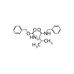 CC(C)[C@H](NC(=O)OCc1ccccc1)C(=O)NCc1ccccc1